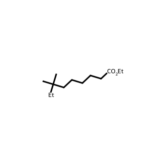 CCOC(=O)CCCCCC(C)(C)CC